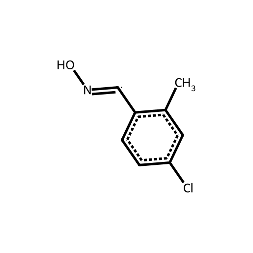 Cc1cc(Cl)ccc1/[C]=N/O